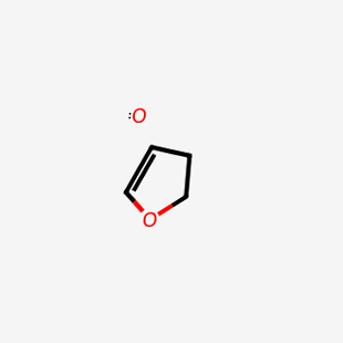 C1=COCC1.[O]